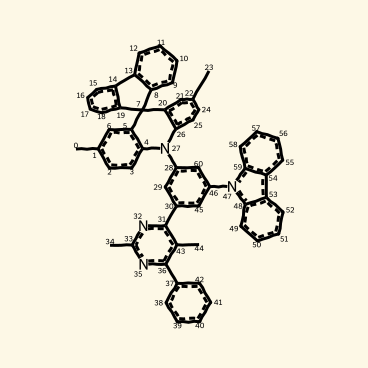 Cc1ccc2c(c1)C1(c3ccccc3-c3ccccc31)c1cc(C)ccc1N2c1cc(-c2nc(C)nc(-c3ccccc3)c2C)cc(-n2c3ccccc3c3ccccc32)c1